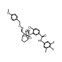 COc1ccc(CO/N=C/[C@@]2(O)CC3CCC2[C@@H]3S(=O)(=O)c2cc(C(=O)Nc3cc(F)c(F)c(F)c3)ccc2Cl)cc1